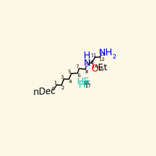 CCCCCCCCCCCCCCCCCCNC(CCN)OCC.F.F